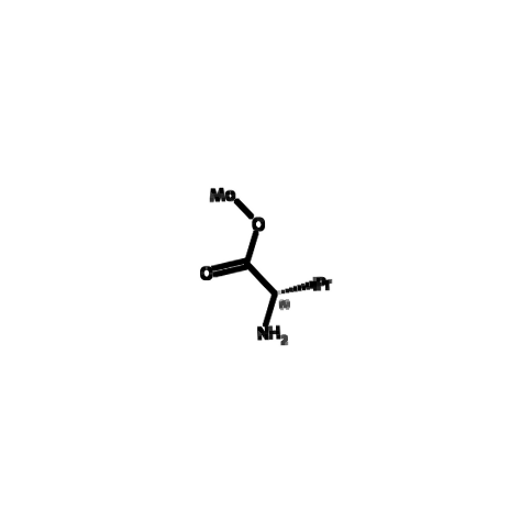 CC(C)[C@H](N)C(=O)[O][Mo]